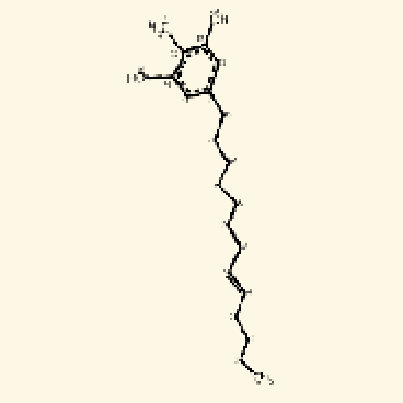 CCCC/C=C/CCCCCCCc1cc(O)c(C)c(O)c1